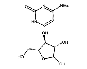 CNc1cc[nH]c(=O)n1.OC[C@H]1OC(O)[C@@H](O)[C@@H]1O